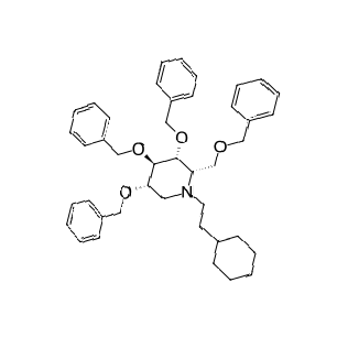 c1ccc(COC[C@H]2[C@@H](OCc3ccccc3)[C@H](OCc3ccccc3)[C@@H](OCc3ccccc3)CN2CCC2CCCCC2)cc1